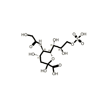 O=C(CO)N[C@H]1[C@H]([C@H](O)[C@H](O)COS(=O)(=O)O)OC(O)(C(=O)O)C[C@@H]1O